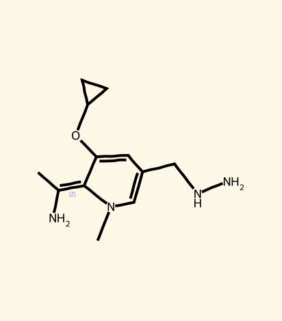 C/C(N)=C1\C(OC2CC2)=CC(CNN)=CN1C